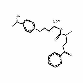 CC(CSC(=O)c1ccccc1)C(=O)N[C@@H](CSCc1ccc(N(C)C(C)(C)C)cc1)C(=O)O